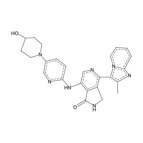 Cc1nc2ccccn2c1-c1ncc(Nc2ccc(N3CCC(O)CC3)cn2)c2c1CNC2=O